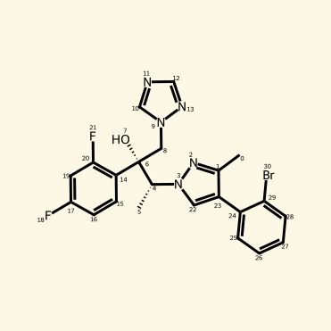 Cc1nn([C@H](C)[C@](O)(Cn2cncn2)c2ccc(F)cc2F)cc1-c1ccccc1Br